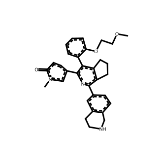 COCCOc1ccccc1-c1c(-c2ccc(=O)n(C)c2)nc(-c2ccc3c(c2)CCNC3)c2c1CCC2